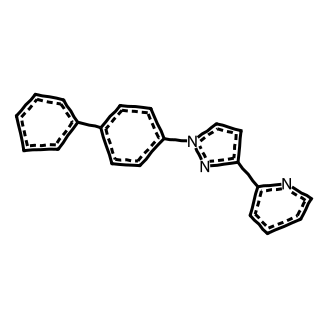 c1ccc(-c2ccc(-n3ccc(-c4ccccn4)n3)cc2)cc1